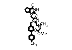 COC(=O)CN(C)Cc1nnc(Cn2c3c(c(=O)[nH]c2=S)CCC3)n1Cc1ccc(-c2ccc(C(F)(F)F)cc2)cc1